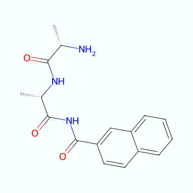 C[C@H](N)C(=O)N[C@@H](C)C(=O)NC(=O)c1ccc2ccccc2c1